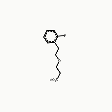 O=C(O)CCOCCc1ccccc1F